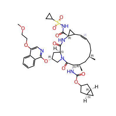 COCCOc1cnc(O[C@@H]2C[C@H]3C(=O)N[C@]4(C(=O)NS(=O)(=O)C5CC5)CC4/C=C\CC[C@@H](C)C[C@@H](C)[C@H](NC(=O)OC4C[C@@H]5C[C@@H]5C4)C(=O)N3C2)c2ccccc12